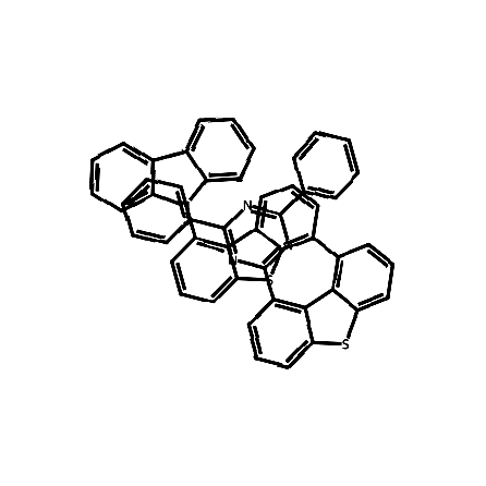 c1ccc(-c2nc(-c3ccccc3)nc(-c3cccc4sc5cccc(-c6cccc7c6sc6cccc(-n8c9ccccc9c9ccccc98)c67)c5c34)n2)cc1